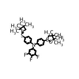 CC1(C)CB(c2ccc(N(c3ccc(SB4CC(C)(C)C4(C)C)cc3)c3cc(F)c(F)c(F)c3)cc2)OC1(C)C